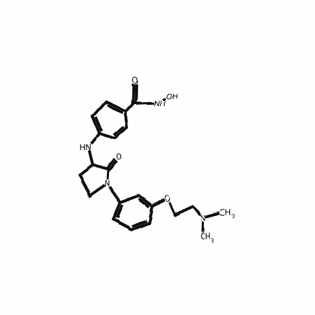 CN(C)CCOc1cccc(N2CCC(Nc3ccc(C(=O)NO)cc3)C2=O)c1